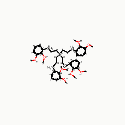 COc1cccc([SiH2]CC[Si](CC[SiH2]c2cccc(OC)c2OC)(CC[SiH2]c2cccc(OC)c2OC)CC[SiH2]c2cccc(OC)c2OC)c1OC